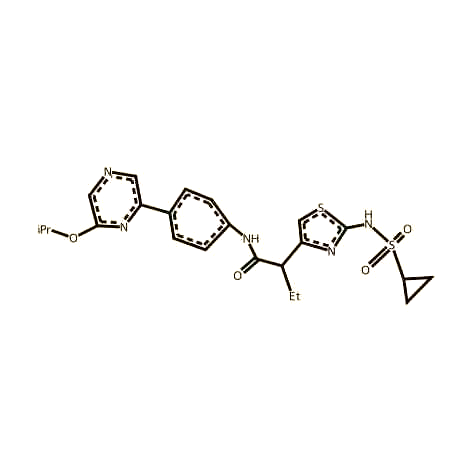 CCC(C(=O)Nc1ccc(-c2cncc(OC(C)C)n2)cc1)c1csc(NS(=O)(=O)C2CC2)n1